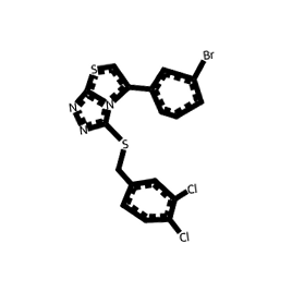 Clc1ccc(CSc2nnc3scc(-c4cccc(Br)c4)n23)cc1Cl